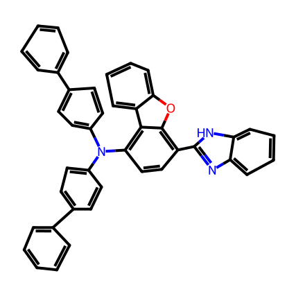 c1ccc(-c2ccc(N(c3ccc(-c4ccccc4)cc3)c3ccc(-c4nc5ccccc5[nH]4)c4oc5ccccc5c34)cc2)cc1